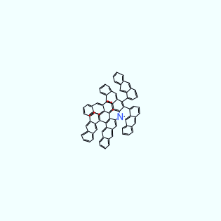 c1ccc2cc3c(-c4c([N]c5cc6cc7ccccc7cc6c(-c6cccc7cc8ccccc8cc67)c5-c5cccc6cc7ccccc7cc56)cc5cc6ccccc6cc5c4-c4cccc5cc6ccccc6cc45)cccc3cc2c1